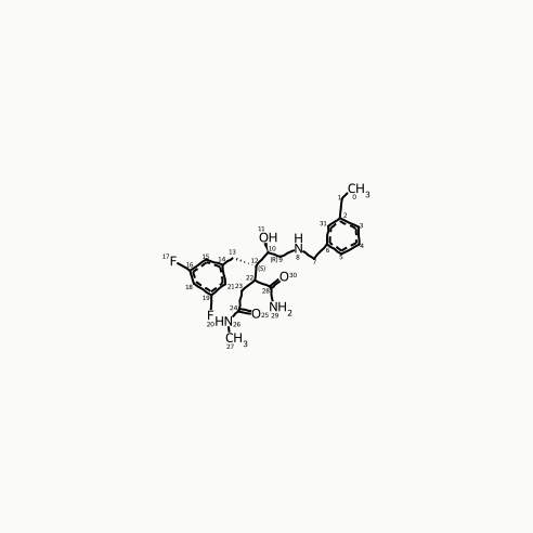 CCc1cccc(CNC[C@H](O)[C@@H](Cc2cc(F)cc(F)c2)C(CC(=O)NC)C(N)=O)c1